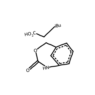 CCC(C)CC(=O)O.O=C1Nc2cccc(c2)CO1